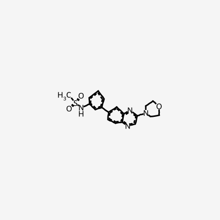 CS(=O)(=O)Nc1cccc(-c2ccc3ncc(N4CCOCC4)nc3c2)c1